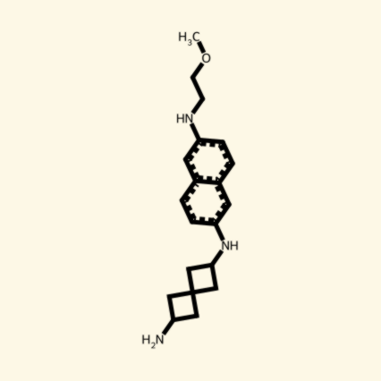 COCCNc1ccc2cc(NC3CC4(CC(N)C4)C3)ccc2c1